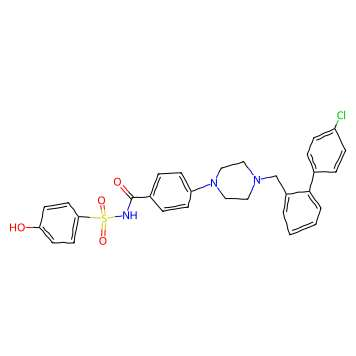 O=C(NS(=O)(=O)c1ccc(O)cc1)c1ccc(N2CCN(Cc3ccccc3-c3ccc(Cl)cc3)CC2)cc1